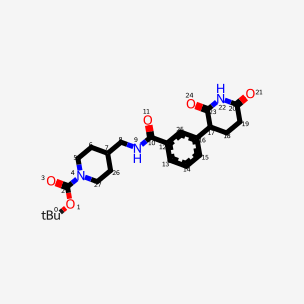 CC(C)(C)OC(=O)N1CCC(CNC(=O)c2cccc(C3CCC(=O)NC3=O)c2)CC1